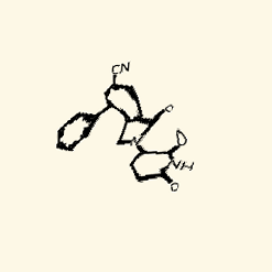 N#Cc1cc2c(c(-c3ccccc3)c1)CN(C1CCC(=O)NC1=O)C2=O